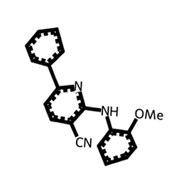 COc1ccccc1Nc1nc(-c2ccccc2)ccc1C#N